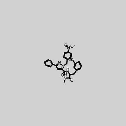 CNC(=O)C(Cc1cccc(Br)c1)NC(=O)c1cc(-c2ccccc2)nn1Cc1ccc([N+](=O)[O-])cc1